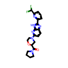 O=C(C1CN(c2ccc3nc(-c4cccc(C(F)F)n4)[nH]c3n2)CCO1)N1CCCC1